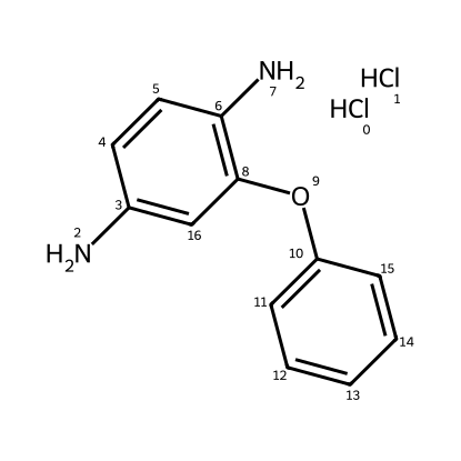 Cl.Cl.Nc1ccc(N)c(Oc2ccccc2)c1